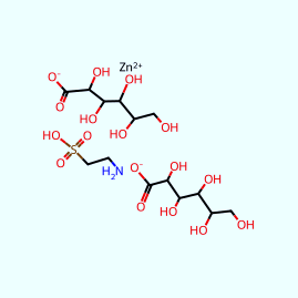 NCCS(=O)(=O)O.O=C([O-])C(O)C(O)C(O)C(O)CO.O=C([O-])C(O)C(O)C(O)C(O)CO.[Zn+2]